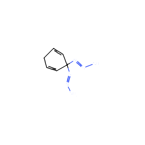 N/N=N/C1(/N=N/N)C=CCC=C1